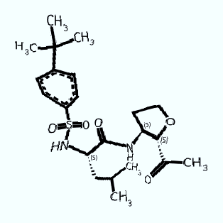 CC(=O)[C@H]1OCC[C@@H]1NC(=O)[C@H](CC(C)C)NS(=O)(=O)c1ccc(C(C)(C)C)cc1